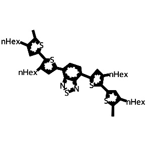 CCCCCCc1cc(-c2sc(-c3ccc(-c4cc(CCCCCC)c(-c5cc(CCCCCC)c(C)s5)s4)c4nsnc34)cc2CCCCCC)sc1C